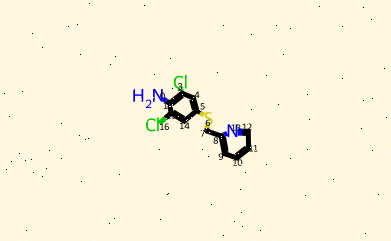 Nc1c(Cl)cc(SCc2ccccn2)cc1Cl